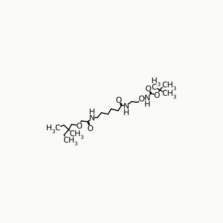 CCC(C)(CC)COCC(=O)NCCCCCC(=O)NCCONC(=O)OC(C)(C)C